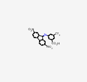 O=C(O)c1cc(N=C2c3cc([N+](=O)[O-])ccc3-c3ccc([N+](=O)[O-])cc32)cc(C(F)(F)F)c1